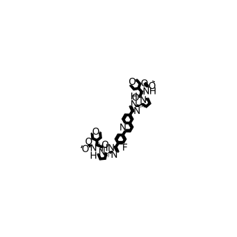 COC(=O)N[C@H](C(=O)N1CCC[C@H]1c1nc(-c2ccc3nc(-c4ccc(-c5cnc([C@@H]6CCCN6C(=O)[C@@H](NC(=O)OC)C6CCOCC6)[nH]5)c(F)c4)ccc3c2)c[nH]1)C1CCOCC1